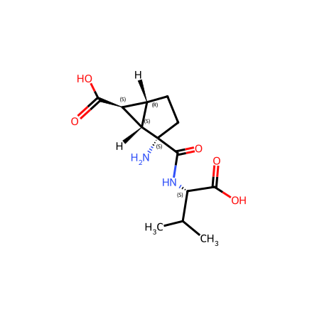 CC(C)[C@H](NC(=O)[C@]1(N)CC[C@H]2[C@H](C(=O)O)[C@H]21)C(=O)O